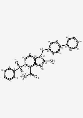 NC(=O)c1c(S(=O)(=O)c2ccccc2)ccc2c1nc(S)n2Cc1ccc(-c2ccccc2)cc1